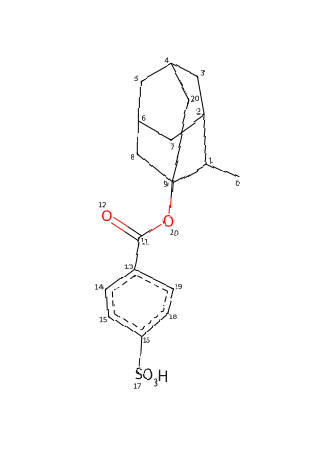 CC1C2CC3CC(C2)CC1(OC(=O)c1ccc(S(=O)(=O)O)cc1)C3